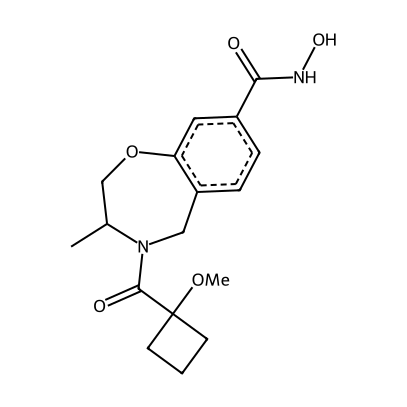 COC1(C(=O)N2Cc3ccc(C(=O)NO)cc3OCC2C)CCC1